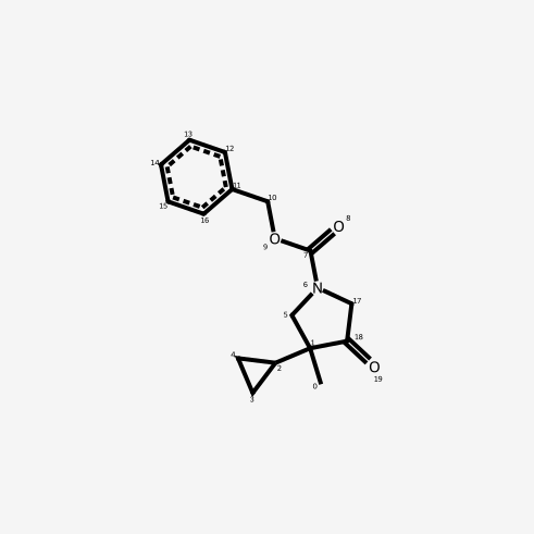 CC1(C2CC2)CN(C(=O)OCc2ccccc2)CC1=O